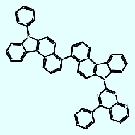 c1ccc(-c2nc(-n3c4ccccc4c4c5cccc(-c6cccc7c6ccc6c7c7ccccc7n6-c6ccccc6)c5ccc43)nc3ncccc23)cc1